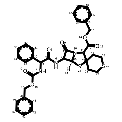 O=C(NC(C(=O)NC1C(=O)N2C(C(=O)OCc3ccccc3)C3(CCSCC3)S[C@@H]12)c1ccccc1)OCc1ccccc1